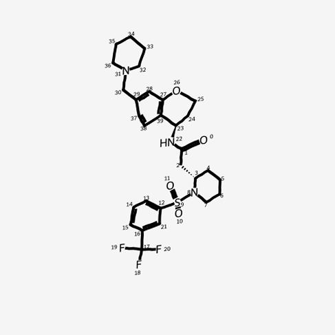 O=C(C[C@@H]1CCCCN1S(=O)(=O)c1cccc(C(F)(F)F)c1)N[C@@H]1CCOc2cc(CN3CCCCC3)ccc21